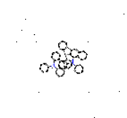 c1ccc(N(c2ccccc2)c2cccc3c2-c2ccccc2C32c3ccccc3-c3cc4ccccc4c(N(c4ccccc4)c4ccccc4)c32)cc1